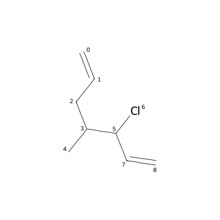 C=CCC(C)C(Cl)C=C